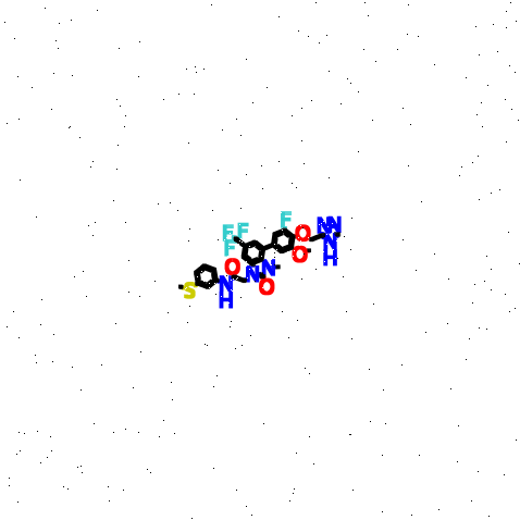 COc1cc(-c2cc(C(F)(F)F)cc3c2n(C)c(=O)n3CC(=O)Nc2cccc(SC)c2)cc(F)c1OCc1nnc[nH]1